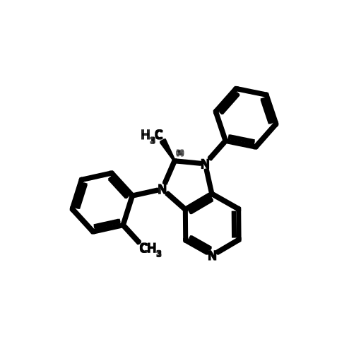 Cc1ccccc1N1c2cnccc2N(c2ccccc2)[C@@H]1C